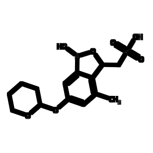 Cc1cc(OC2CCCCO2)cc2c1C(CS(=O)(=O)O)OB2O